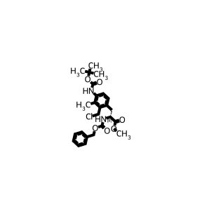 COC(=O)[C@@H](Cc1ccc(NC(=O)OC(C)(C)C)c(C)c1CCl)NC(=O)OCc1ccccc1